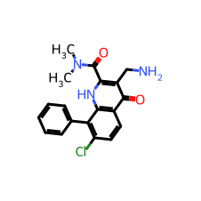 CN(C)C(=O)c1[nH]c2c(-c3ccccc3)c(Cl)ccc2c(=O)c1CN